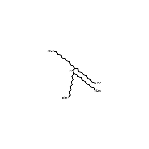 CCCCCCCCCCCCCCCCCCCC(CCCCCCCCCCCCCCCCCC)NC(CCCCCCCCCCCCCCCCCC)CCCCCCCCCCCCCCCCCCC